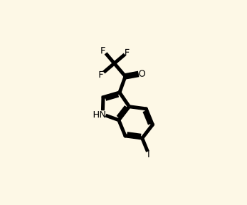 O=C(c1c[nH]c2cc(I)ccc12)C(F)(F)F